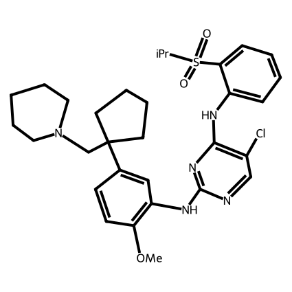 COc1ccc(C2(CN3CCCCC3)CCCC2)cc1Nc1ncc(Cl)c(Nc2ccccc2S(=O)(=O)C(C)C)n1